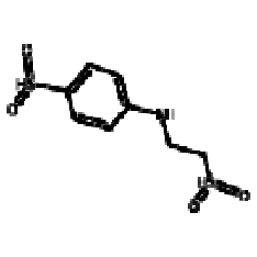 O=[SH](=O)CCNc1[c]cc([SH](=O)=O)cc1